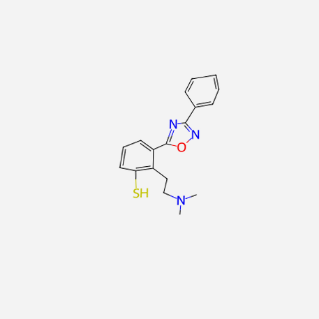 CN(C)CCc1c(S)cccc1-c1nc(-c2ccccc2)no1